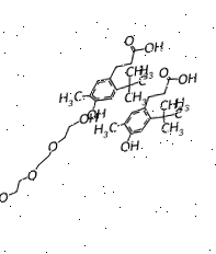 Cc1cc(CCC(=O)O)c(C(C)(C)C)cc1O.Cc1cc(CCC(=O)O)c(C(C)(C)C)cc1O.OCCOCCOCCO